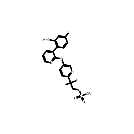 COc1cc(F)ccc1-c1cccnc1Oc1ccc(C(F)(F)COS(=O)(=O)C(F)(F)F)nc1